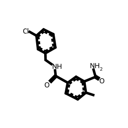 Cc1ccc(C(=O)NCc2cccc(Cl)c2)cc1C(N)=O